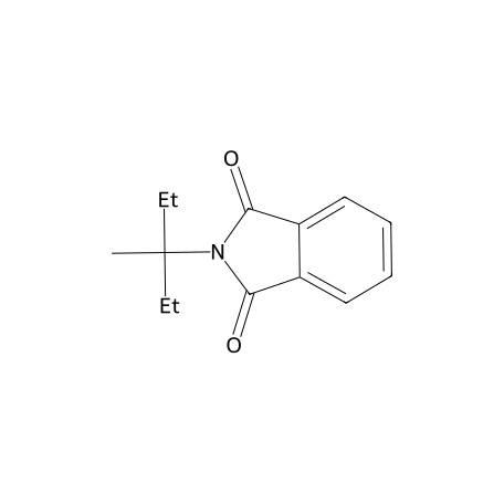 CCC(C)(CC)N1C(=O)c2ccccc2C1=O